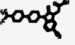 CONC(=O)CC1C(=O)N(C2CCN(C3CCC(C(C)C)CC3)CC2)c2ccc(C#N)cc21